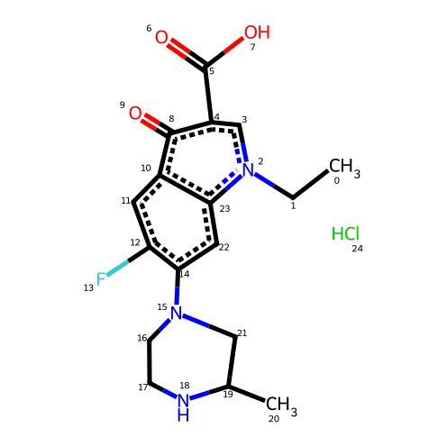 CCn1cc(C(=O)O)c(=O)c2cc(F)c(N3CCNC(C)C3)cc21.Cl